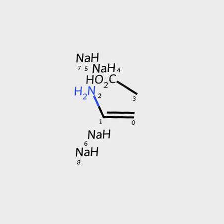 C=CN.CC(=O)O.[NaH].[NaH].[NaH].[NaH]